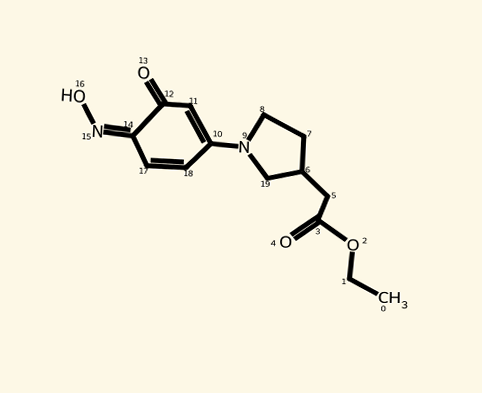 CCOC(=O)CC1CCN(C2=CC(=O)C(=NO)C=C2)C1